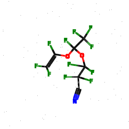 N#CC(F)(F)C(F)(F)OC(F)(OC(F)=C(F)F)C(F)(F)F